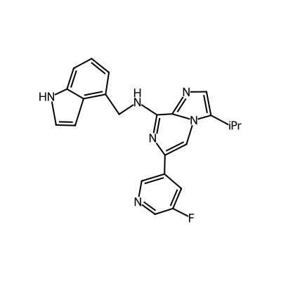 CC(C)c1cnc2c(NCc3cccc4[nH]ccc34)nc(-c3cncc(F)c3)cn12